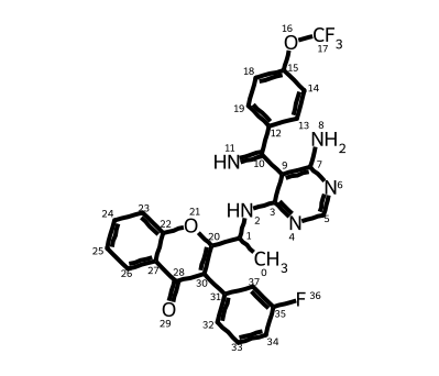 CC(Nc1ncnc(N)c1C(=N)c1ccc(OC(F)(F)F)cc1)c1oc2ccccc2c(=O)c1-c1cccc(F)c1